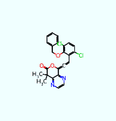 CC1(C)C(=O)OC(=C=Cc2c(Cl)ccc(Cl)c2OCc2ccccc2)c2nccnc21